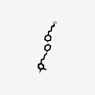 N#C/C=C/CCC1CCC([C@H]2CC[C@H](CCCCc3ccc(F)c(F)c3)CC2)CC1